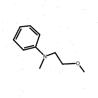 COCCN(C)c1ccccc1